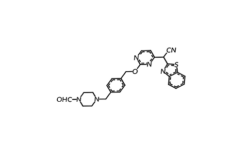 N#CC(c1ccnc(OCc2ccc(CN3CCN(C=O)CC3)cc2)n1)c1nc2ccccc2s1